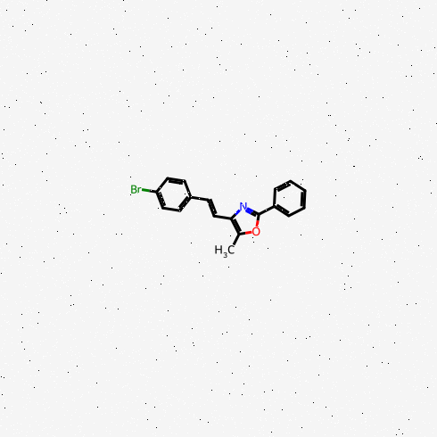 Cc1oc(-c2ccccc2)nc1C=Cc1ccc(Br)cc1